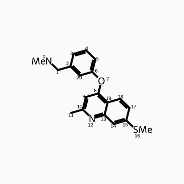 CNCc1cccc(Oc2cc(C)nc3cc(SC)ccc23)c1